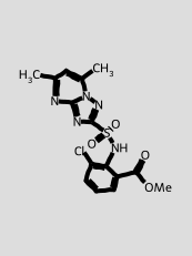 COC(=O)c1cccc(Cl)c1NS(=O)(=O)c1nc2nc(C)cc(C)n2n1